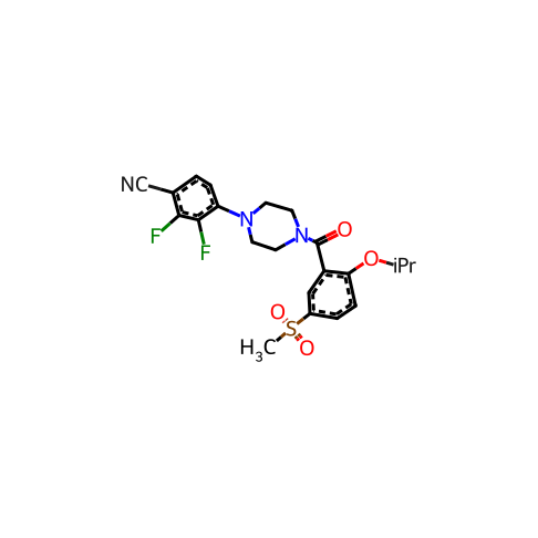 CC(C)Oc1ccc(S(C)(=O)=O)cc1C(=O)N1CCN(c2ccc(C#N)c(F)c2F)CC1